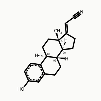 C[C@]12CC[C@@H]3c4ccc(O)cc4CC[C@H]3[C@@H]1CCC2=CC#N